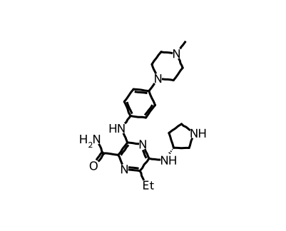 CCc1nc(C(N)=O)c(Nc2ccc(N3CCN(C)CC3)cc2)nc1N[C@@H]1CCNC1